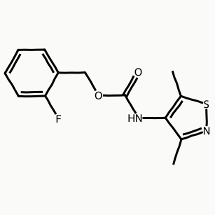 Cc1nsc(C)c1NC(=O)OCc1ccccc1F